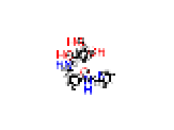 CC(C)(Cc1cccc(C(=O)NCCc2ccccn2)c1)NC[C@H](O)c1ccc(O)c(CO)c1